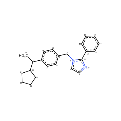 O=C(O)C(c1ccc(Cn2ccnc2-c2ccccc2)cc1)C1CCCC1